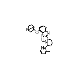 Cc1cccnc1[C@@H]1CCC[C@H](c2nc3cccc(OC4CN5CCC4CC5)c3[nH]2)N1C